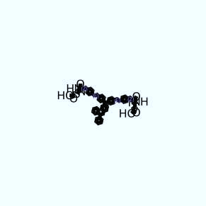 O=C(O)CSC1=N/C(=C\c2ccc(/C=C/c3ccc(N(c4ccc(C=C(c5ccccc5)c5ccccc5)cc4)c4ccc(/C=C/c5ccc(/C=C6\N=C(SCC(=O)O)NC6=O)cc5)cc4)cc3)cc2)C(=O)N1